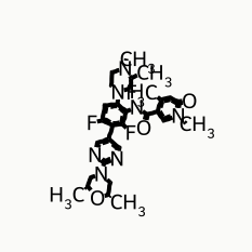 CC1CN(c2cc(F)c(-c3cnc(N4C[C@H](C)O[C@@H](C)C4)nc3)c(F)c2NC(=O)c2cn(C)c(=O)cc2C(F)(F)F)CCN1C